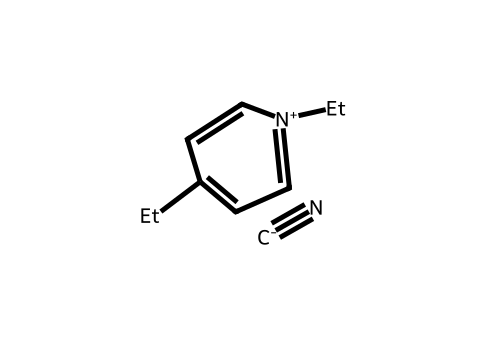 CCc1cc[n+](CC)cc1.[C-]#N